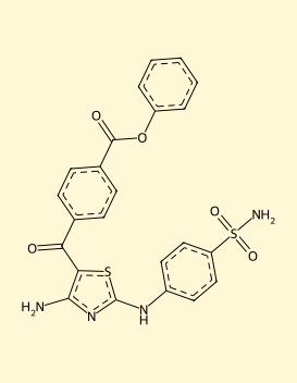 Nc1nc(Nc2ccc(S(N)(=O)=O)cc2)sc1C(=O)c1ccc(C(=O)Oc2ccccc2)cc1